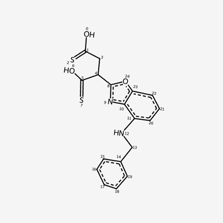 OC(=S)CC(C(O)=S)c1nc2c(NCc3ccccc3)cccc2o1